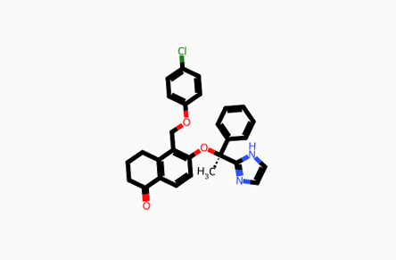 C[C@](Oc1ccc2c(c1COc1ccc(Cl)cc1)CCCC2=O)(c1ccccc1)c1ncc[nH]1